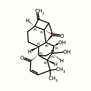 C=C1C2C(=O)[C@]34[C@H]2[C@H]1CC[C@H]3[C@@]12CO[C@]4(O)[C@@H](O)[C@@H]1C(C)(C)C=CC2=O